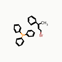 C/C(=C\CBr)c1ccccc1.c1ccc(P(c2ccccc2)c2ccccc2)cc1